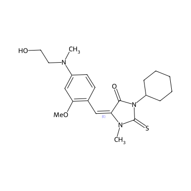 COc1cc(N(C)CCO)ccc1/C=C1\C(=O)N(C2CCCCC2)C(=S)N1C